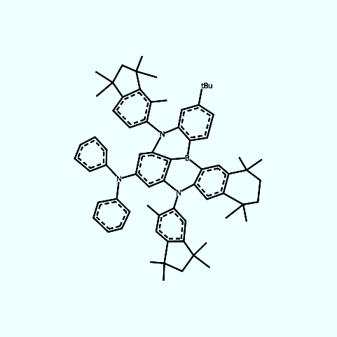 Cc1cc2c(cc1N1c3cc4c(cc3B3c5ccc(C(C)(C)C)cc5N(c5ccc6c(c5C)C(C)(C)CC6(C)C)c5cc(N(c6ccccc6)c6ccccc6)cc1c53)C(C)(C)CCC4(C)C)C(C)(C)CC2(C)C